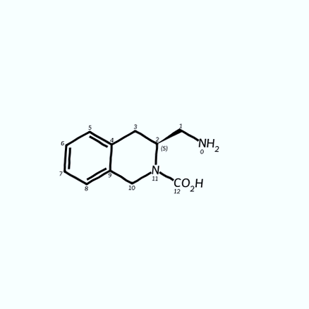 NC[C@@H]1Cc2ccccc2CN1C(=O)O